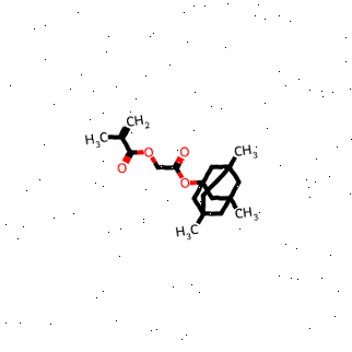 C=C(C)C(=O)OCC(=O)OC12CC3(C)CC(C)(CC(C)(C3)C1)C2